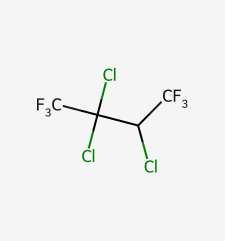 FC(F)(F)C(Cl)C(Cl)(Cl)C(F)(F)F